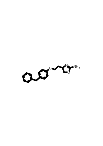 NC1=NC(CCOc2ccc(Cc3ccccc3)cc2)CO1